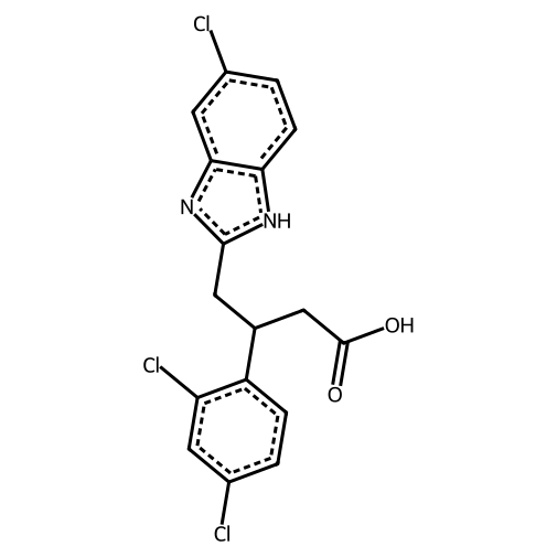 O=C(O)CC(Cc1nc2cc(Cl)ccc2[nH]1)c1ccc(Cl)cc1Cl